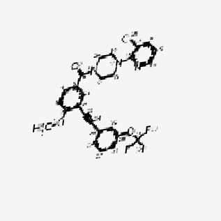 COc1ccc(C(=O)N2CCN(c3ncccc3Cl)CC2)cc1C#Cc1cccc(OC(F)(F)F)c1